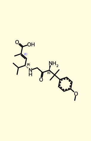 COc1ccc(C(C)(C)[C@H](N)C(=O)CN[C@@H](/C=C(\C)C(=O)O)C(C)C)cc1